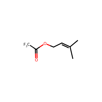 CC(C)=CCOC(=O)C(F)(F)F